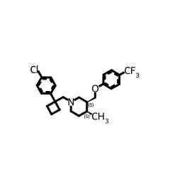 C[C@H]1CCN(CC2(c3ccc(Cl)cc3)CCC2)C[C@H]1COc1ccc(C(F)(F)F)cc1